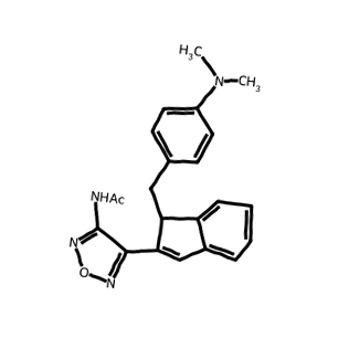 CC(=O)Nc1nonc1C1=Cc2ccccc2C1Cc1ccc(N(C)C)cc1